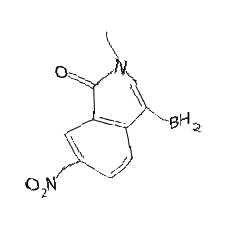 Bc1cn(C)c(=O)c2cc([N+](=O)[O-])ccc12